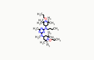 CCCCN(c1nc(C)nc(N(C)C2CC(C)(C)N(OCCC)C(C)(C)C2)n1)C1CC(C)(C)N(OCCC)C(C)(C)C1